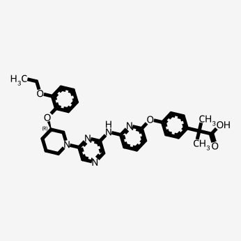 CCOc1ccccc1O[C@@H]1CCCN(c2cncc(Nc3cccc(Oc4ccc(C(C)(C)C(=O)O)cc4)n3)n2)C1